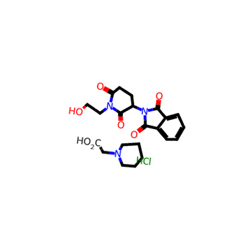 Cl.O=C(O)CN1CCCCC1.O=C1CCC(N2C(=O)c3ccccc3C2=O)C(=O)N1CCO